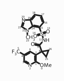 COc1ncc(C(F)(F)F)cc1C1(C(=O)NS(=O)(=O)c2cccc3ncn(C)c23)CC1